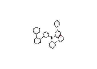 c1ccc(-c2cccc(N(c3cccc(-c4ccccc4-c4ccccc4)c3)c3ccccc3-c3ccccc3)c2)cc1